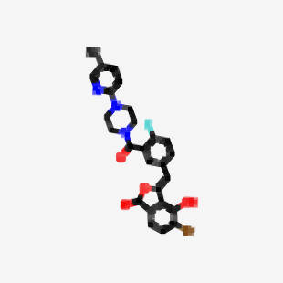 N#Cc1ccc(N2CCN(C(=O)c3cc(C=C4OC(=O)c5ccc(Br)c(O)c54)ccc3F)CC2)nc1